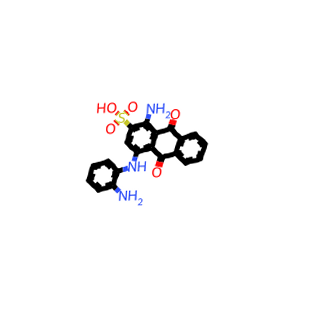 Nc1ccccc1Nc1cc(S(=O)(=O)O)c(N)c2c1C(=O)c1ccccc1C2=O